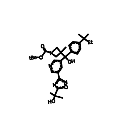 CCC(C)(C)c1ccc(C(O)(c2cncc(-c3noc(C(C)(C)O)n3)c2)C2(C)CN(C(=O)OC(C)(C)C)C2)cc1